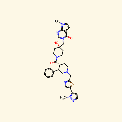 Cn1nccc1-c1cnc(CN2CC[C@@H](C(=O)N3CCC(O)(Cn4cnc5c(ccn5C)c4=O)CC3)[C@H](c3ccccc3)C2)s1